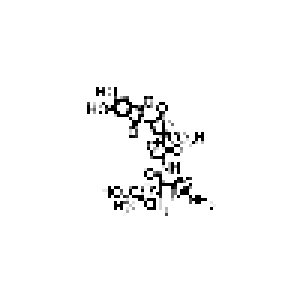 CC(C)(O/N=C(\C(=O)N[C@H]1CON(C2(C(=O)O)C[C@@H](N3C(=O)c4cc(O)c(O)cc4C3=O)C(=O)O2)C1=O)c1csc(N)n1)C(=O)O